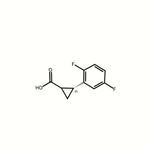 O=C(O)C1C[C@H]1c1cc(F)ccc1F